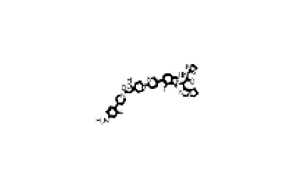 Nc1ccc(C2CCN(C(=O)CC3(O)CCN(c4ccc(-c5ccc6cn(C(C(=O)Nc7nccs7)c7ncn8c7CCC8)nc6c5F)cn4)CC3)CC2)c(F)c1